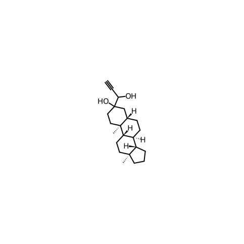 C#CC(O)C1(O)CC[C@@]2(C)[C@@H](CC[C@H]3[C@@H]4CCC[C@@]4(C)CC[C@@H]32)C1